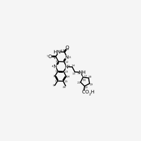 Cc1cc2nc3c(=O)[nH]c(=O)nc-3n(CCN[C@H]3CCC(C(=O)O)C3)c2cc1C